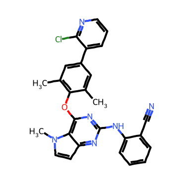 Cc1cc(-c2cccnc2Cl)cc(C)c1Oc1nc(Nc2ccccc2C#N)nc2ccn(C)c12